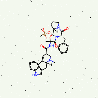 CN1C[C@H](C(=O)N[C@]2(C)O[C@@]3(OS(C)(=O)=O)[C@@H]4CCCN4C(=O)[C@H](Cc4ccccc4)N3C2=O)C=C2c3cccc4[nH]cc(c34)C[C@H]21